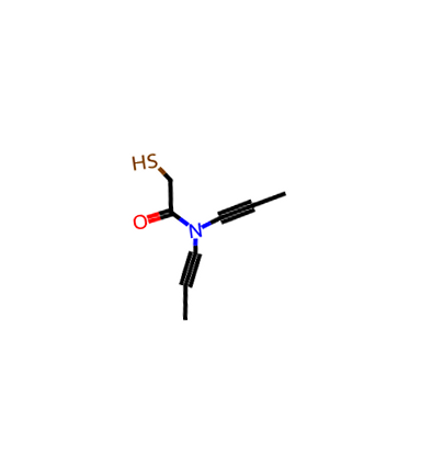 CC#CN(C#CC)C(=O)CS